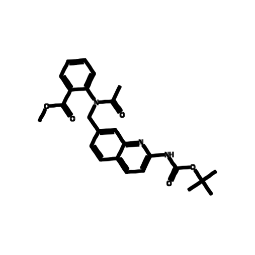 COC(=O)c1ccccc1N(Cc1ccc2ccc(NC(=O)OC(C)(C)C)nc2c1)C(C)=O